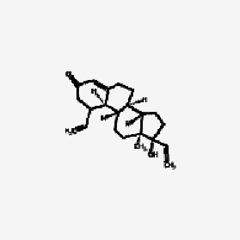 C=CC1CC(=O)C=C2CC[C@@H]3[C@H](CC[C@@]4(C)[C@H]3CC[C@]4(O)C=C)[C@H]21